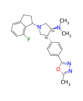 Cc1nnc(-c2ccc([C@@H]3CN(C4CCc5cccc(F)c54)C[C@H]3N(C)C)cc2)o1